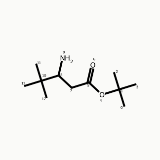 CC(C)(C)OC(=O)CC(N)C(C)(C)C